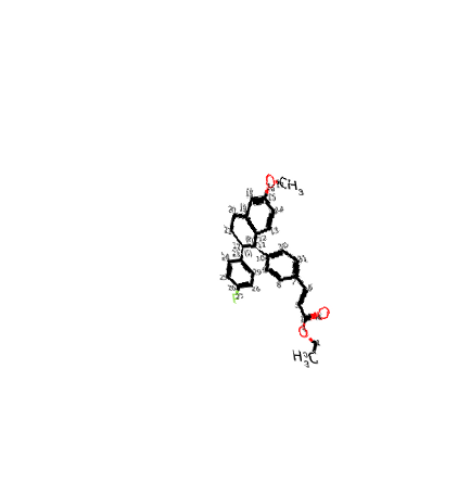 CCOC(=O)C=Cc1ccc([C@@H]2c3ccc(OC)cc3CC[C@@H]2c2ccc(F)cc2)cc1